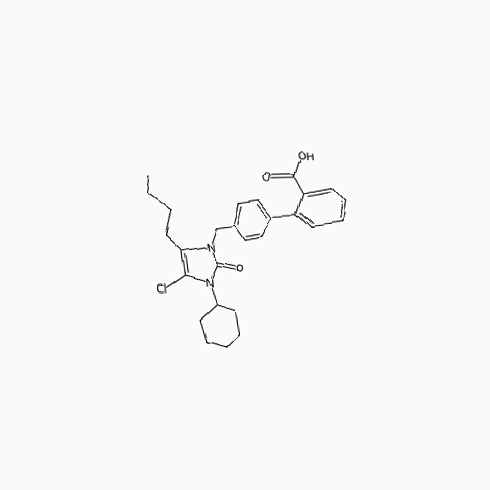 CCCCc1c(Cl)n(C2CCCCC2)c(=O)n1Cc1ccc(-c2ccccc2C(=O)O)cc1